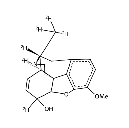 [2H]C1(O)C=C[C@]2([2H])[C@@]34CCN(C([2H])([2H])[2H])[C@]2([2H])Cc2ccc(OC)c(c23)OC14